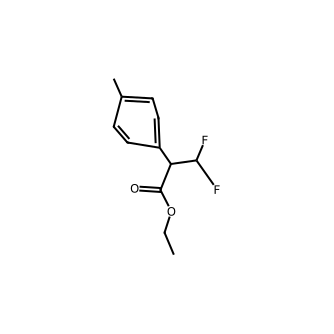 CCOC(=O)C(c1ccc(C)cc1)C(F)F